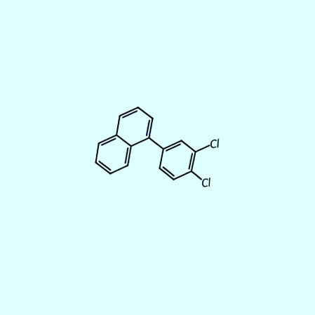 Clc1ccc(-c2cccc3ccccc23)cc1Cl